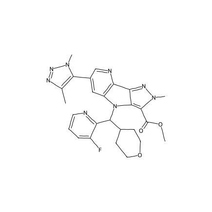 COC(=O)c1c2c(nn1C)c1ncc(-c3c(C)nnn3C)cc1n2C(c1ncccc1F)C1CCOCC1